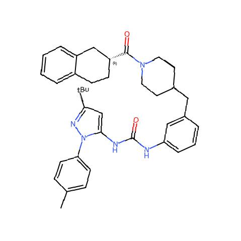 Cc1ccc(-n2nc(C(C)(C)C)cc2NC(=O)Nc2cccc(CC3CCN(C(=O)[C@@H]4CCc5ccccc5C4)CC3)c2)cc1